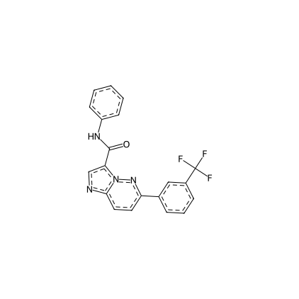 O=C(Nc1ccccc1)c1cnc2ccc(-c3cccc(C(F)(F)F)c3)nn12